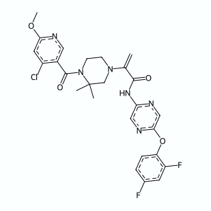 C=C(C(=O)Nc1cnc(Oc2ccc(F)cc2F)cn1)N1CCN(C(=O)c2cnc(OC)cc2Cl)C(C)(C)C1